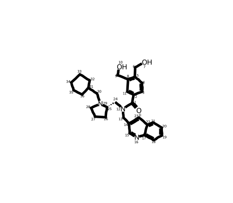 O=C(c1ccc(CO)c(CO)c1)N(Cc1cnc2ccccc2c1)C[C@@H]1CCCN1CC1CCCCC1